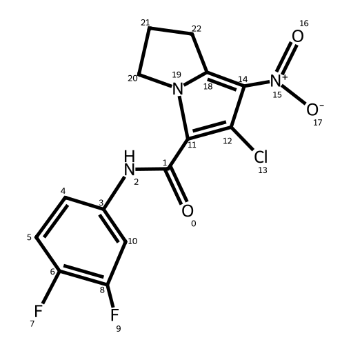 O=C(Nc1ccc(F)c(F)c1)c1c(Cl)c([N+](=O)[O-])c2n1CCC2